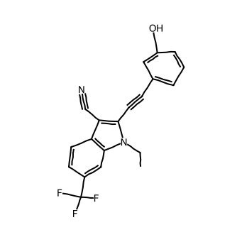 CCn1c(C#Cc2cccc(O)c2)c(C#N)c2ccc(C(F)(F)F)cc21